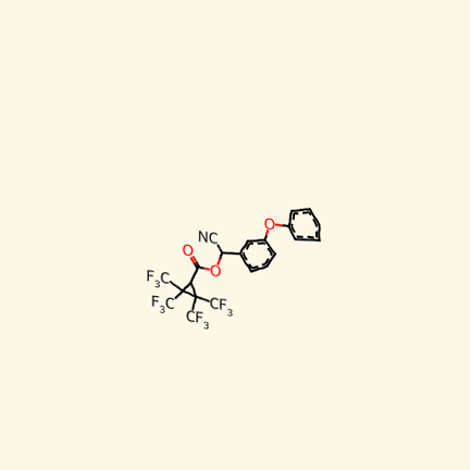 N#CC(OC(=O)C1C(C(F)(F)F)(C(F)(F)F)C1(C(F)(F)F)C(F)(F)F)c1cccc(Oc2ccccc2)c1